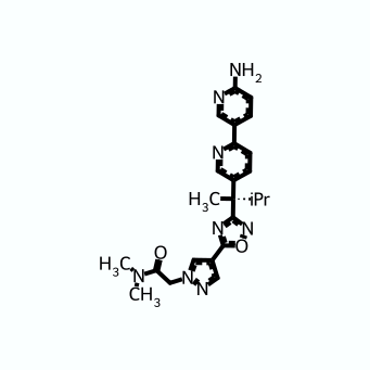 CC(C)[C@](C)(c1ccc(-c2ccc(N)nc2)nc1)c1noc(-c2cnn(CC(=O)N(C)C)c2)n1